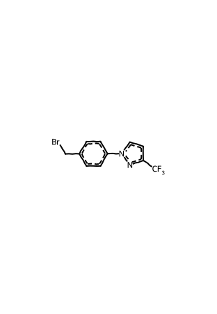 FC(F)(F)c1ccn(-c2ccc(CBr)cc2)n1